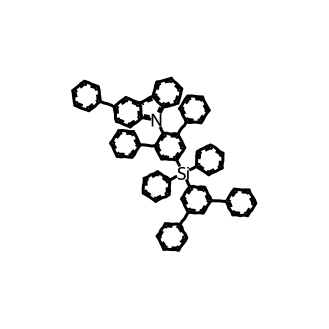 c1ccc(-c2cc(-c3ccccc3)cc([Si](c3ccccc3)(c3ccccc3)c3cc(-c4ccccc4)c(-n4c5ccccc5c5cc(-c6ccccc6)ccc54)c(-c4ccccc4)c3)c2)cc1